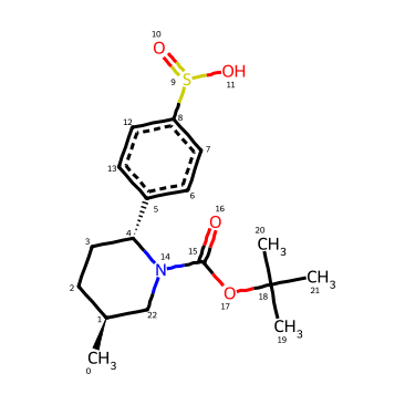 C[C@H]1CC[C@H](c2ccc(S(=O)O)cc2)N(C(=O)OC(C)(C)C)C1